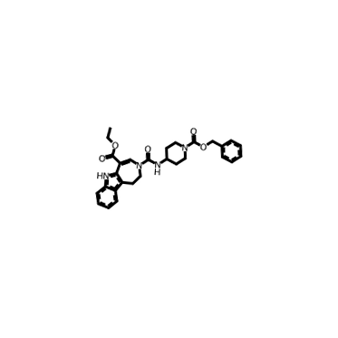 CCOC(=O)C1=CN(C(=O)NC2CCN(C(=O)OCc3ccccc3)CC2)CCc2c1[nH]c1ccccc21